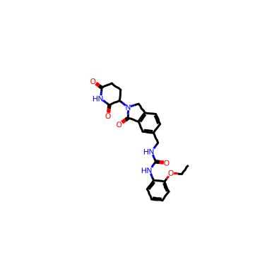 CCOc1ccccc1NC(=O)NCc1ccc2c(c1)C(=O)N(C1CCC(=O)NC1=O)C2